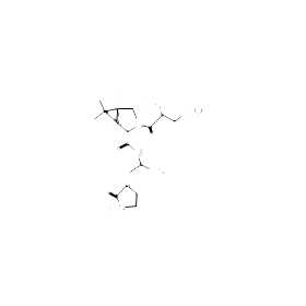 COCC(N)C(=O)N1C[C@H]2[C@@H]([C@H]1C(=O)NC(C#N)C[C@@H]1CCNC1=O)C2(C)C